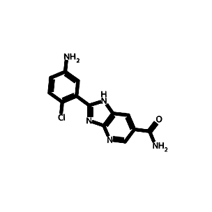 NC(=O)c1cnc2nc(-c3cc(N)ccc3Cl)[nH]c2c1